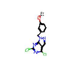 CCOc1cccc(Cn2ncc3c(Cl)nc(Cl)nc32)c1